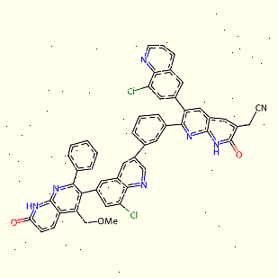 COCc1c(-c2cc(Cl)c3ncc(-c4cccc(-c5nc6[nH]c(=O)c(CC#N)cc6cc5-c5cc(Cl)c6ncccc6c5)c4)cc3c2)c(-c2ccccc2)nc2[nH]c(=O)ccc12